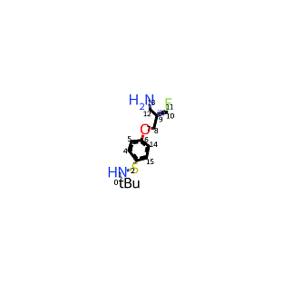 CC(C)(C)NSc1ccc(OC/C(=C/F)CN)cc1